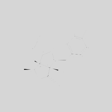 C[C@@H]1OC(=O)[C@@H]2[C@H]1[C@H](CO)ON2Cc1ccc(I)cc1